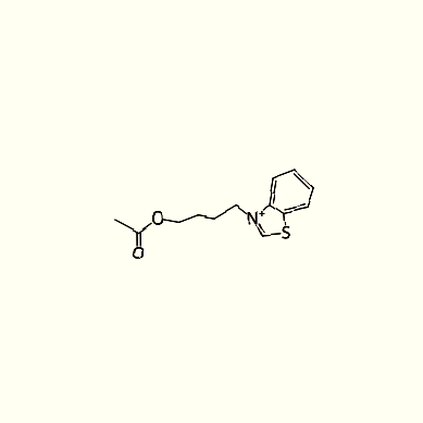 CC(=O)OCCCC[n+]1csc2ccccc21